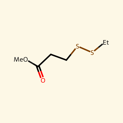 CCSSCCC(=O)OC